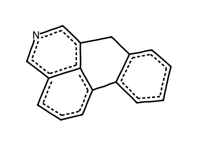 c1ccc2c(c1)Cc1cncc3cccc-2c13